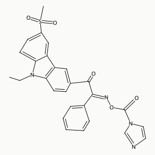 CCn1c2ccc(C(=O)/C(=N/OC(=O)n3ccnc3)c3ccccc3)cc2c2cc(S(C)(=O)=O)ccc21